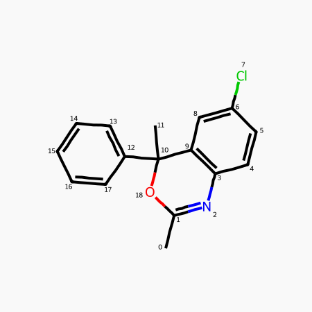 CC1=Nc2ccc(Cl)cc2C(C)(c2ccccc2)O1